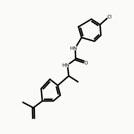 C=C(C)c1ccc(C(C)NC(=O)Nc2ccc(Cl)cc2)cc1